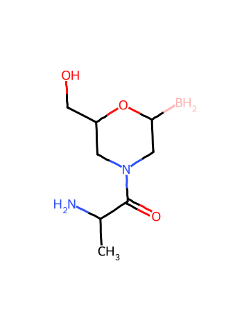 BC1CN(C(=O)C(C)N)CC(CO)O1